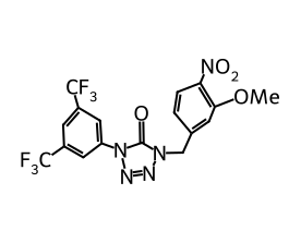 COc1cc(Cn2nnn(-c3cc(C(F)(F)F)cc(C(F)(F)F)c3)c2=O)ccc1[N+](=O)[O-]